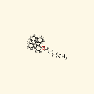 CCCCCCCCOc1cccc2c1-c1ccccc1C2(c1ccccc1)c1ccccc1